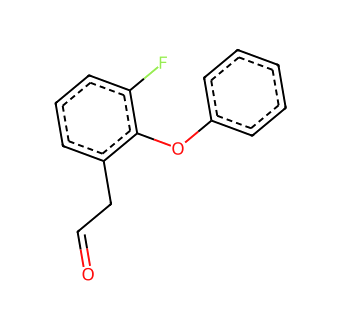 O=CCc1cccc(F)c1Oc1ccccc1